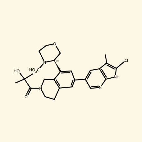 Cc1c(Cl)[nH]c2ncc(-c3cc4c(c([C@@H]5COCCN5C(=O)O)c3)CN(C(=O)C(C)(C)O)CC4)cc12